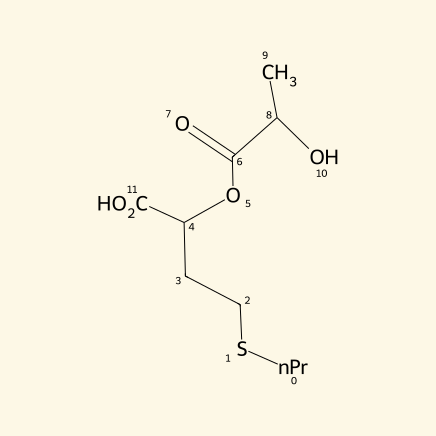 CCCSCCC(OC(=O)C(C)O)C(=O)O